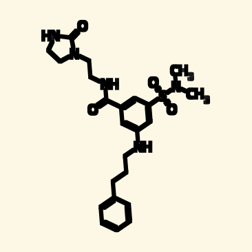 CN(C)S(=O)(=O)c1cc(NCCCc2ccccc2)cc(C(=O)NCCN2CCNC2=O)c1